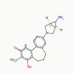 NC1[C@H]2CN(c3ccc4c(c3)CCCc3c-4[nH]c(=O)c(C(=O)O)c3O)C[C@@H]12